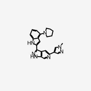 Cn1cc(-c2cc3c(-c4cc5c(N6CCCCC6)cccc5[nH]4)n[nH]c3cn2)cn1